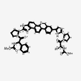 COC(=O)NC(C(=O)N1CCC[C@H]1c1nc2c(ccc3c4c(ccc32)-c2ccc(-c3cnc([C@@H]5CCCN5C(=O)[C@@H](NC(=O)OC)C(C)C)[nH]3)cc2CO4)[nH]1)c1ccccc1